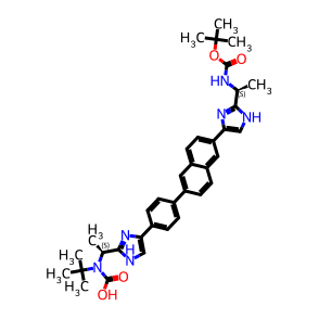 C[C@H](NC(=O)OC(C)(C)C)c1nc(-c2ccc3cc(-c4ccc(-c5c[nH]c([C@H](C)N(C(=O)O)C(C)(C)C)n5)cc4)ccc3c2)c[nH]1